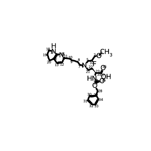 COC[C@@H](F)CN(CCCCc1ccc2c(n1)NCCC2)CC[C@H](NC(=O)OCc1ccccc1)C(=O)O